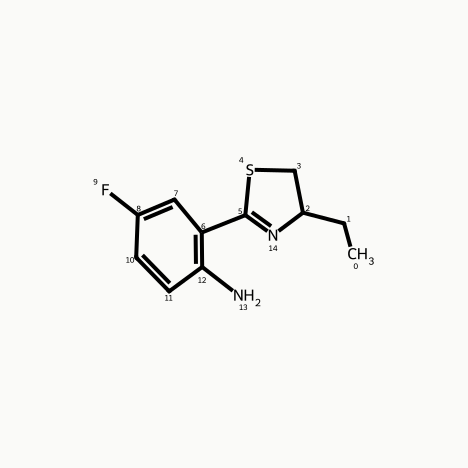 CCC1CSC(c2cc(F)ccc2N)=N1